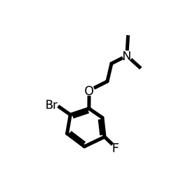 CN(C)CCOc1cc(F)ccc1Br